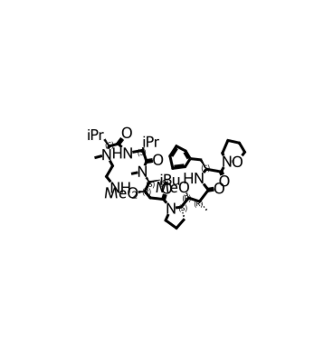 CC[C@H](C)[C@@H]([C@@H](CC(=O)N1CCC[C@H]1[C@H](OC)[C@@H](C)C(=O)N[C@@H](Cc1ccccc1)C(=O)N1CCCCO1)OC)N(C)C(=O)[C@@H](NC(=O)[C@H](C(C)C)N(C)CCN)C(C)C